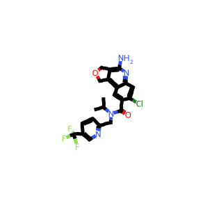 CC(C)N(Cc1ccc(C(F)(F)F)cn1)C(=O)c1cc2c3c(c(N)nc2cc1Cl)COC3